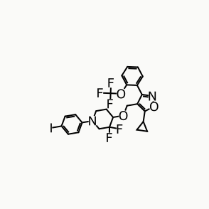 FC(F)(F)Oc1ccccc1-c1noc(C2CC2)c1COC1CCN(c2ccc(I)cc2)CC1(F)F